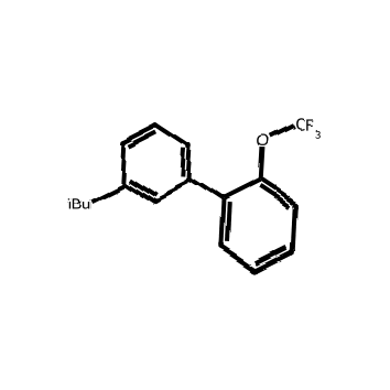 CCC(C)c1cccc(-c2ccccc2OC(F)(F)F)c1